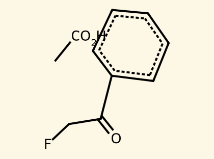 CC(=O)O.O=C(CF)c1ccccc1